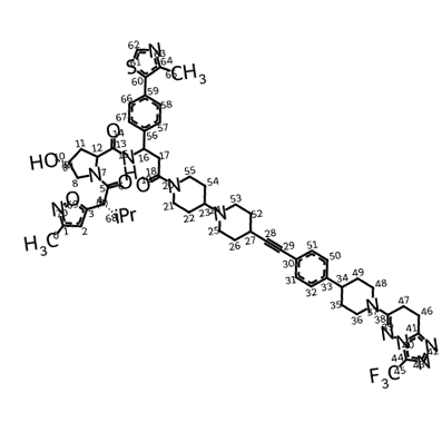 Cc1cc([C@H](C(=O)N2C[C@H](O)CC2C(=O)NC(CC(=O)N2CCC(N3CCC(C#Cc4ccc(C5CCN(C6=Nn7c(nnc7C(F)(F)F)CC6)CC5)cc4)CC3)CC2)c2ccc(-c3scnc3C)cc2)C(C)C)on1